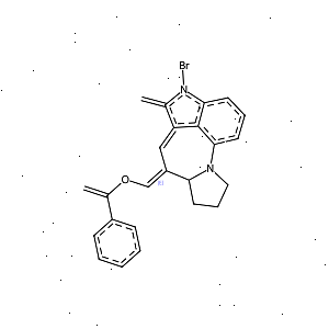 C=C(O/C=C1\C=c2c(=C)n(Br)c3cccc(c23)N2CCCC12)c1ccccc1